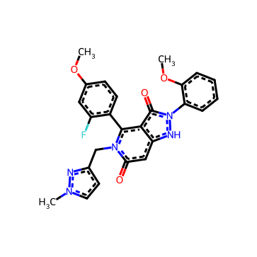 COc1ccc(-c2c3c(=O)n(-c4ccccc4OC)[nH]c3cc(=O)n2Cc2ccn(C)n2)c(F)c1